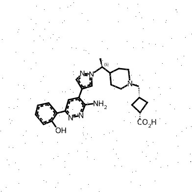 C[C@@H](C1CCN(C[C@H]2C[C@@H](C(=O)O)C2)CC1)n1cc(-c2cc(-c3ccccc3O)nnc2N)cn1